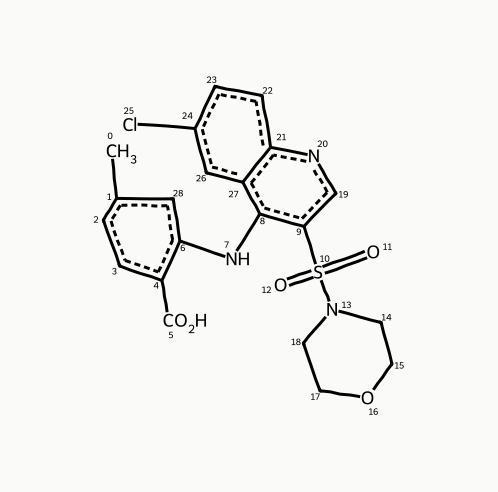 Cc1ccc(C(=O)O)c(Nc2c(S(=O)(=O)N3CCOCC3)cnc3ccc(Cl)cc23)c1